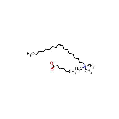 CCCCCC(=O)[O-].CCCCCCCC/C=C\CCCCCCCC[N+](C)(C)C